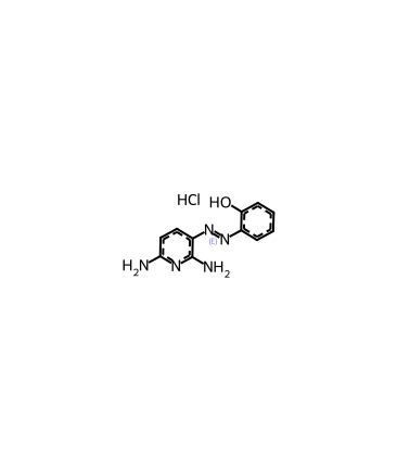 Cl.Nc1ccc(/N=N/c2ccccc2O)c(N)n1